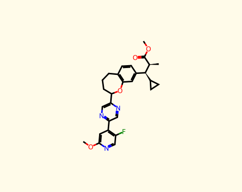 COC(=O)[C@@H](C)[C@H](c1ccc2c(c1)OC(c1cnc(-c3cc(OC)ncc3F)cn1)CCC2)C1CC1